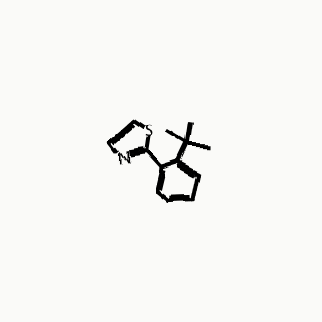 CC(C)(C)c1ccccc1-c1nccs1